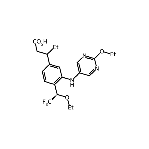 CCOc1ncc(Nc2cc(C(CC)CC(=O)O)ccc2[C@@H](OCC)C(F)(F)F)cn1